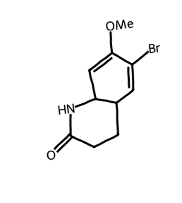 COC1=CC2NC(=O)CCC2C=C1Br